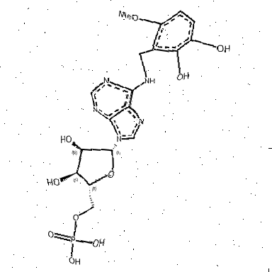 COc1ccc(O)c(O)c1CNc1ncnc2c1ncn2[C@@H]1O[C@H](COP(=O)(O)O)[C@@H](O)[C@H]1O